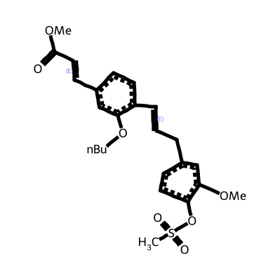 CCCCOc1cc(/C=C/C(=O)OC)ccc1/C=C/Cc1ccc(OS(C)(=O)=O)c(OC)c1